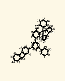 c1ccc(-c2nc(-c3ccc4c(c3)C3(c5ccccc5O4)c4ccccc4-c4ccccc43)nc(-c3ccc4c(c3)sc3ccccc34)n2)cc1